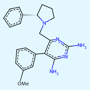 COc1cccc(-c2c(N)nc(N)nc2CN2CCC[C@H]2c2ccccc2)c1